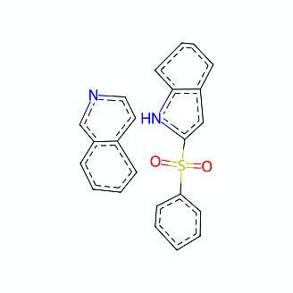 O=S(=O)(c1ccccc1)c1cc2ccccc2[nH]1.c1ccc2cnccc2c1